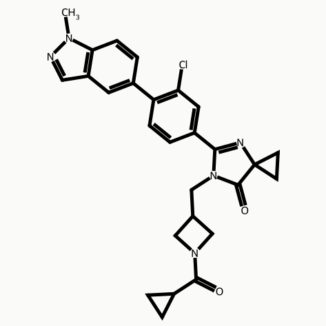 Cn1ncc2cc(-c3ccc(C4=NC5(CC5)C(=O)N4CC4CN(C(=O)C5CC5)C4)cc3Cl)ccc21